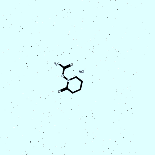 CC(=O)ON1CCCCC1=O.Cl